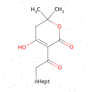 CCCCCCCCC(=O)C1=C(O)CC(C)(C)OC1=O